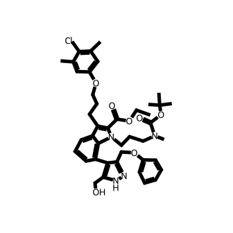 CCOC(=O)c1c(CCCOc2cc(C)c(Cl)c(C)c2)c2cccc(-c3c(COc4ccccc4)n[nH]c3CO)c2n1CCCN(C)C(=O)OC(C)(C)C